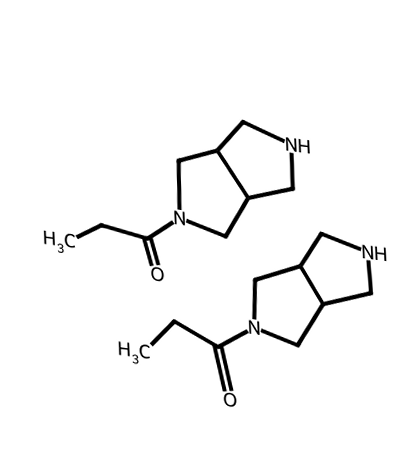 CCC(=O)N1CC2CNCC2C1.CCC(=O)N1CC2CNCC2C1